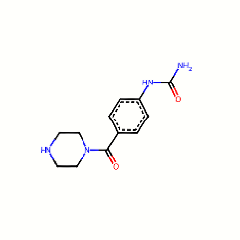 NC(=O)Nc1ccc(C(=O)N2CCNCC2)cc1